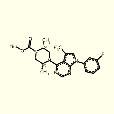 C[C@@H]1CN(c2ncnc3c2c(C(F)(F)F)cn3-c2cccc(F)c2)[C@@H](C)CN1C(=O)OC(C)(C)C